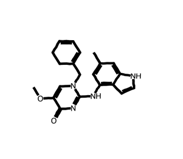 COc1cn(CC2=CC=CCC2)c(Nc2cc(C)cc3[nH]ccc23)nc1=O